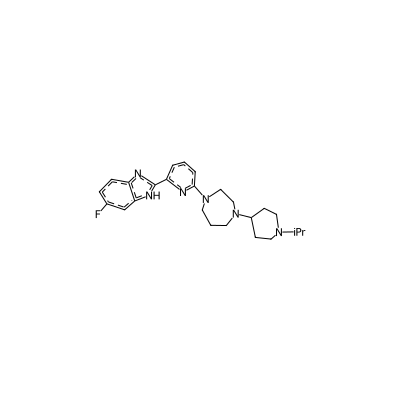 CC(C)N1CCC(N2CCCN(c3cccc(-c4nc5ccc(F)cc5[nH]4)n3)CC2)CC1